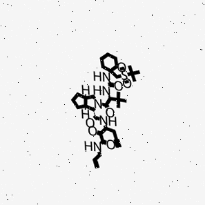 C#CCC(NC(=O)[C@@H]1[C@H]2CCC[C@H]2CN1C(=O)[C@@H](NC(=O)NC1(CS(=O)(=O)C(C)(C)C)CCCCC1)C(C)(C)C)C(=O)C(=O)NCC=C